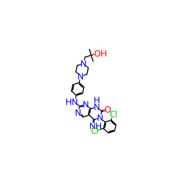 CC(C)(O)CN1CCN(c2ccc(Nc3ncc4c(=N)n(-c5c(Cl)cccc5Cl)c(=O)[nH]c4n3)cc2)CC1